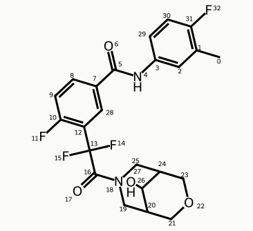 Cc1cc(NC(=O)c2ccc(F)c(C(F)(F)C(=O)N3CC4COCC(C3)C4O)c2)ccc1F